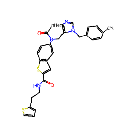 CCCCCCC(=O)N(Cc1cncn1Cc1ccc(C#N)cc1)c1ccc2sc(C(=O)NCCc3cccs3)cc2c1